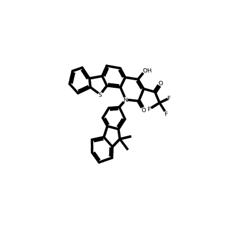 CC1(C)c2ccccc2-c2ccc(-n3c(=O)c(C(=O)C(F)(F)F)c(O)c4ccc5c6ccccc6sc5c43)cc21